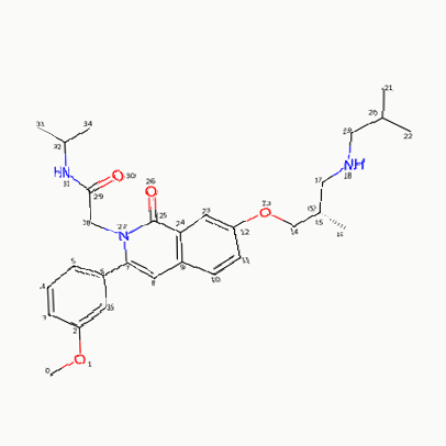 COc1cccc(-c2cc3ccc(OC[C@@H](C)CNCC(C)C)cc3c(=O)n2CC(=O)NC(C)C)c1